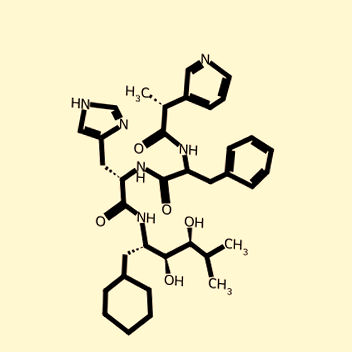 CC(C)[C@H](O)[C@@H](O)[C@H](CC1CCCCC1)NC(=O)[C@H](Cc1c[nH]cn1)NC(=O)C(Cc1ccccc1)NC(=O)[C@H](C)c1cccnc1